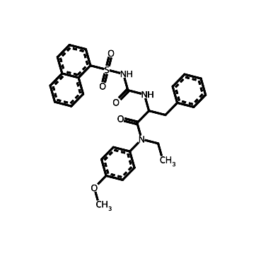 CCN(C(=O)C(Cc1ccccc1)NC(=O)NS(=O)(=O)c1cccc2ccccc12)c1ccc(OC)cc1